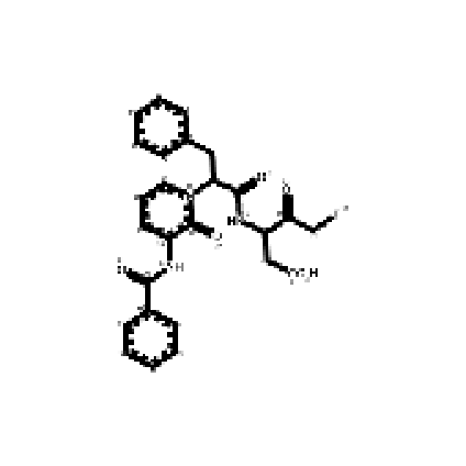 O=C(O)CC(NC(=O)C(Cc1ccccc1)n1cccc(NC(=O)c2ccccc2)c1=O)C(=O)CF